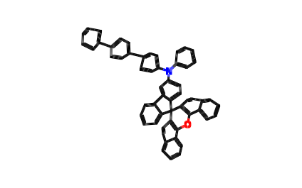 c1ccc(-c2ccc(-c3ccc(N(c4ccccc4)c4ccc5c(c4)-c4ccccc4C54c5ccc6ccccc6c5Oc5c4ccc4ccccc54)cc3)cc2)cc1